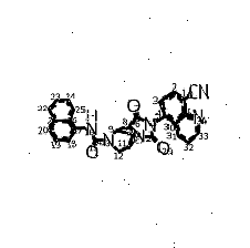 N#Cc1ccc(N2C(=O)C3C4CC(CN4C(=O)Nc4cccc5ccccc45)N3C2=O)c2cccnc12